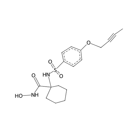 CC#CCOc1ccc(S(=O)(=O)NC2(C(=O)NO)CCCCC2)cc1